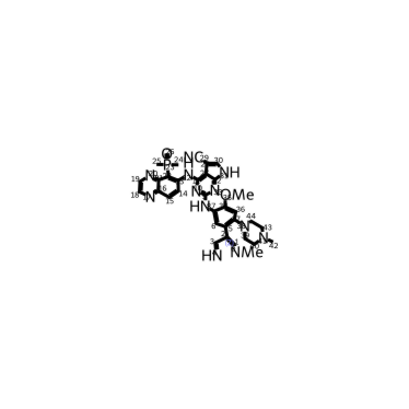 CN/C=C(\C=N)c1cc(Nc2nc(Nc3ccc4nccnc4c3P(C)(C)=O)c3c(C#N)c[nH]c3n2)c(OC)cc1N1CCN(C)CC1